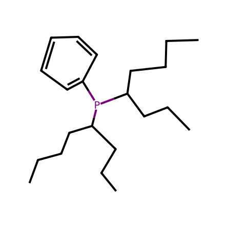 CCCCC(CCC)P(c1ccccc1)C(CCC)CCCC